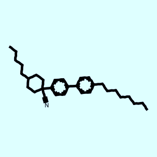 CCCCCCCCc1ccc(-c2ccc(C3(C#N)CCC(CCCCC)CC3)cc2)cc1